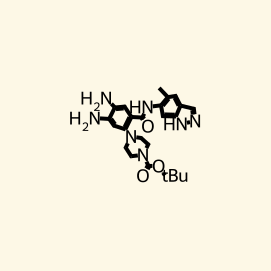 Cc1cc2cn[nH]c2cc1NC(=O)c1cc(N)c(N)cc1N1CCN(C(=O)OC(C)(C)C)CC1